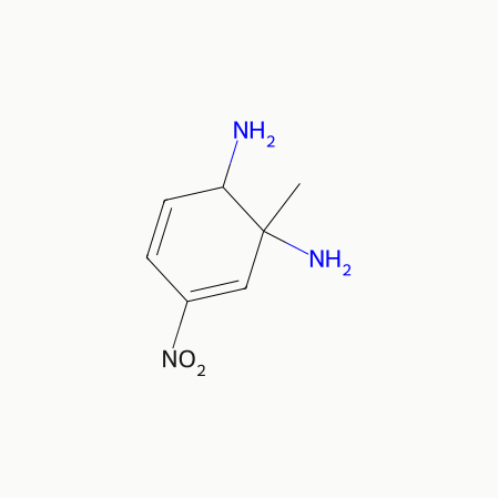 CC1(N)C=C([N+](=O)[O-])C=CC1N